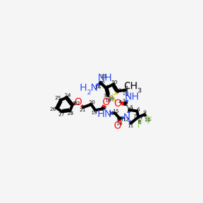 CC(NC(=O)[C@@H]1C[C@](F)(CF)CN1C(=O)CNC(=O)CCCOc1ccccc1)c1cc(C(=N)N)cs1